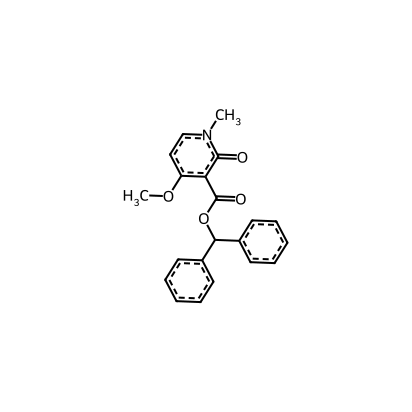 COc1ccn(C)c(=O)c1C(=O)OC(c1ccccc1)c1ccccc1